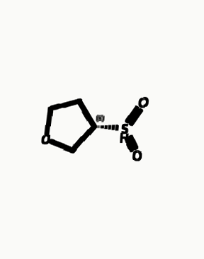 O=[SH](=O)[C@H]1CCOC1